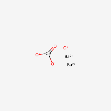 [Ba+2].[Ba+2].[O-2].[O]=[Ge]([O-])[O-]